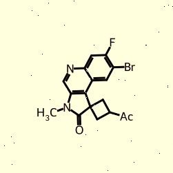 CC(=O)C1CC2(C1)C(=O)N(C)c1cnc3cc(F)c(Br)cc3c12